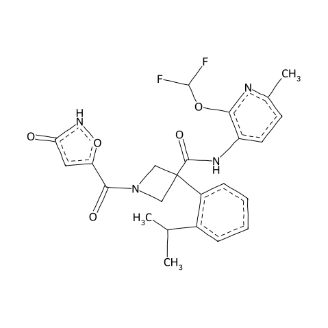 Cc1ccc(NC(=O)C2(c3ccccc3C(C)C)CN(C(=O)c3cc(=O)[nH]o3)C2)c(OC(F)F)n1